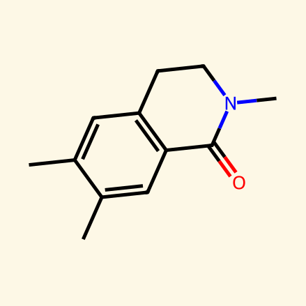 Cc1cc2c(cc1C)C(=O)N(C)CC2